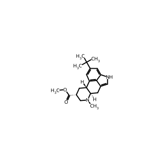 COC(=O)[C@@H]1C[C@@H]2c3cc(C(C)(C)C)cc4[nH]cc(c34)C[C@H]2N(C)C1